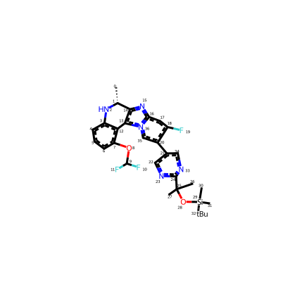 C[C@H]1Nc2cccc(OC(F)F)c2-c2c1nc1cc(F)c(-c3cnc(C(C)(C)O[Si](C)(C)C(C)(C)C)nc3)cn21